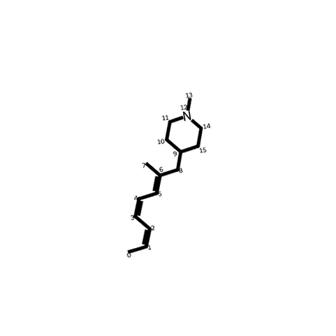 C\C=C/C=C\C=C(/C)CC1CCN(C)CC1